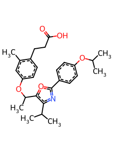 Cc1cc(OC(C)c2oc(-c3ccc(OC(C)C)cc3)nc2C(C)C)ccc1CCC(=O)O